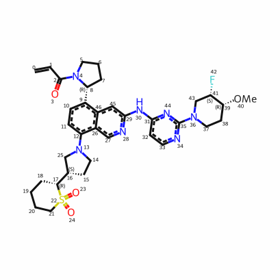 C=CC(=O)N1CCC[C@@H]1c1ccc(N2CC[C@H]([C@H]3CCCCS3(=O)=O)C2)c2cnc(Nc3ccnc(N4CC[C@@H](OC)[C@@H](F)C4)n3)cc12